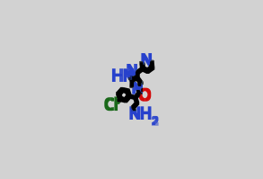 NCCC(C(=O)N1Cc2[nH]nc(-c3cccnc3)c2C1)c1cccc(Cl)c1